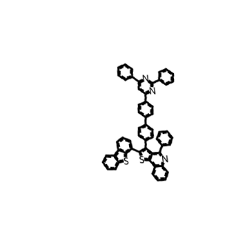 c1ccc(-c2cc(-c3ccc(-c4ccc(-c5c(-c6cccc7c6sc6ccccc67)sc6c5c(-c5ccccc5)nc5ccccc56)cc4)cc3)nc(-c3ccccc3)n2)cc1